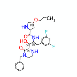 CCCO[C@@H]1CNC(C(=O)N[C@@H](Cc2cc(F)cc(F)c2)[C@H](O)[C@@H]2NCCN(Cc3ccccc3)C2=O)C1